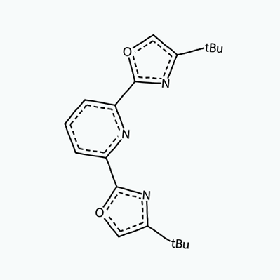 CC(C)(C)c1coc(-c2cccc(-c3nc(C(C)(C)C)co3)n2)n1